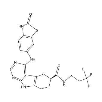 O=C(NCCC(F)(F)F)[C@H]1CCc2[nH]c3ncnc(Nc4ccc5[nH]c(=O)sc5c4)c3c2C1